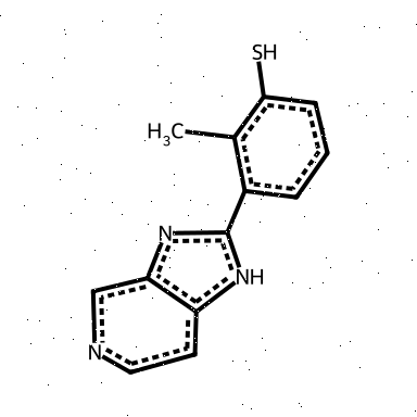 Cc1c(S)cccc1-c1nc2cnccc2[nH]1